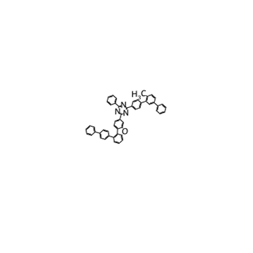 Cc1ccc(-c2ccccc2)cc1-c1ccc(-c2nc(-c3ccccc3)nc(-c3ccc4c(c3)oc3cccc(-c5ccc(-c6ccccc6)cc5)c34)n2)cc1